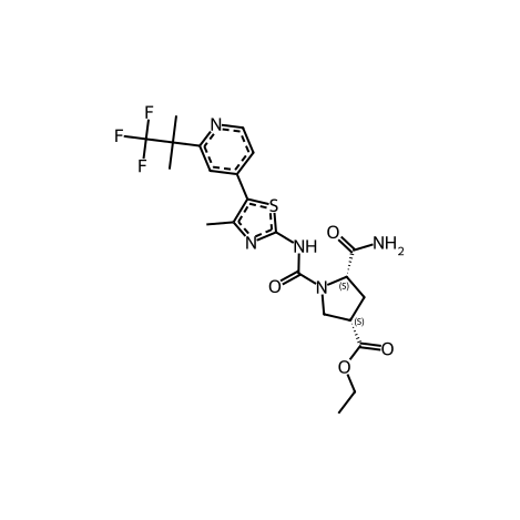 CCOC(=O)[C@H]1C[C@@H](C(N)=O)N(C(=O)Nc2nc(C)c(-c3ccnc(C(C)(C)C(F)(F)F)c3)s2)C1